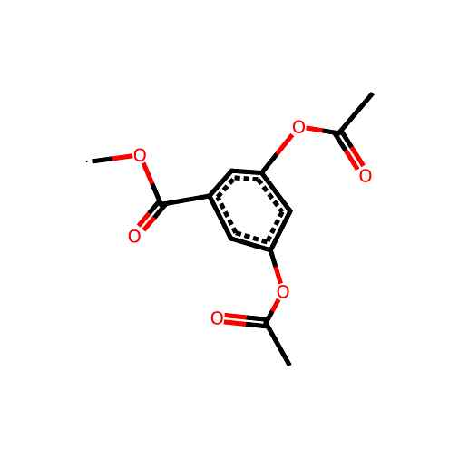 [CH2]OC(=O)c1cc(OC(C)=O)cc(OC(C)=O)c1